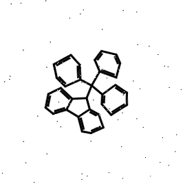 c1ccc(C(c2ccccc2)(c2ccccc2)C2c3ccccc3-c3ccccc32)cc1